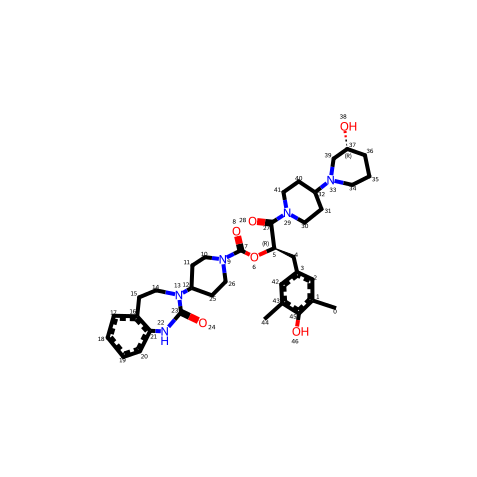 Cc1cc(C[C@@H](OC(=O)N2CCC(N3CCc4ccccc4NC3=O)CC2)C(=O)N2CCC(N3CCC[C@@H](O)C3)CC2)cc(C)c1O